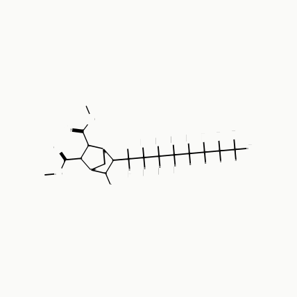 COC(=O)C1C2CC(C1C(=O)OC)C(C(F)(F)C(F)(F)C(F)(F)C(F)(F)C(F)(F)C(F)(F)C(F)(F)C(F)(F)F)C2I